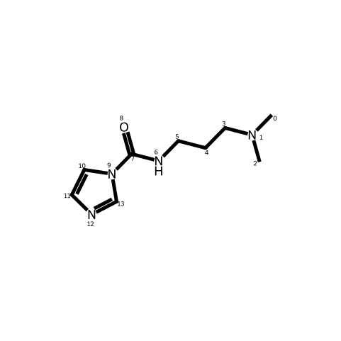 CN(C)CCCNC(=O)n1ccnc1